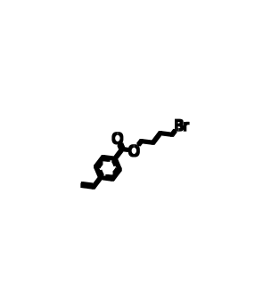 C=Cc1ccc(C(=O)OCCCCBr)cc1